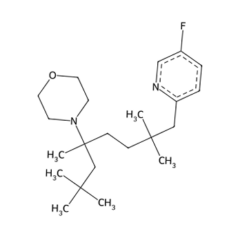 CC(C)(C)CC(C)(CCC(C)(C)Cc1ccc(F)cn1)N1CCOCC1